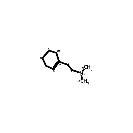 CN(C)CCC1=CCCCC1